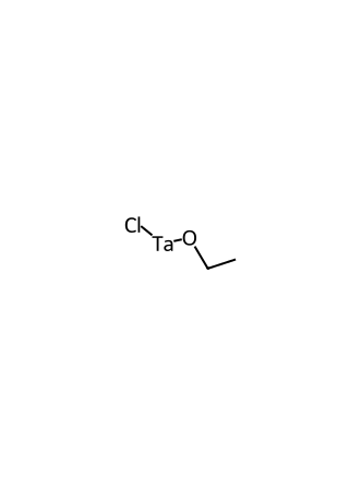 CC[O][Ta][Cl]